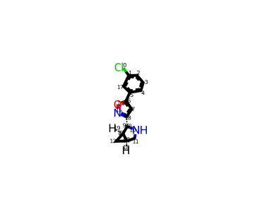 Clc1cccc(-c2cc([C@@H]3NC[C@H]4C[C@H]43)no2)c1